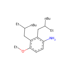 CCCCC(CC)Cc1c(N)ccc(OCC)c1CC(CC)CCCC